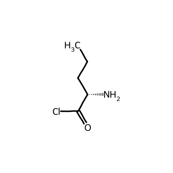 CCC[C@H](N)C(=O)Cl